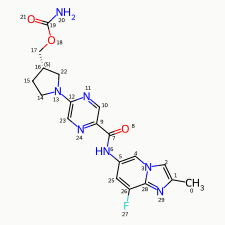 Cc1cn2cc(NC(=O)c3cnc(N4CC[C@H](COC(N)=O)C4)cn3)cc(F)c2n1